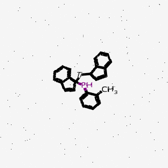 Cc1ccccc1P[C]1([Ti][CH]2C=Cc3ccccc32)C=Cc2ccccc21